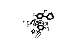 C=CCN(c1cc(-c2ccccc2)c(F)cc1F)S(=O)(=O)c1cc(C(=O)N2CCC2)cc(Cl)c1O